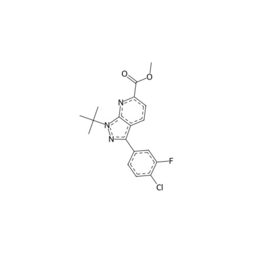 COC(=O)c1ccc2c(-c3ccc(Cl)c(F)c3)nn(C(C)(C)C)c2n1